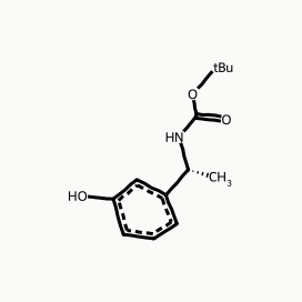 C[C@@H](NC(=O)OC(C)(C)C)c1cccc(O)c1